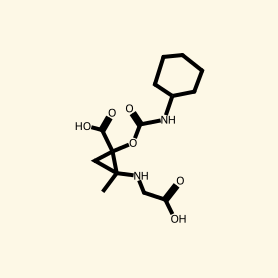 CC1(NCC(=O)O)CC1(OC(=O)NC1CCCCC1)C(=O)O